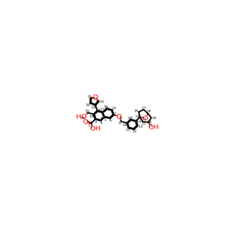 O=C(O)c1cc2cc(OCc3cccc(C45CCC(CC(O)C4)O5)c3)ccc2c(-c2ccoc2)c1CO